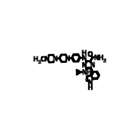 CN1CCN(C2CCN(c3ccc(Nc4nc(NC5CC5)c(-c5cccc6[nH]ccc56)nc4C(N)=O)cc3)CC2)CC1